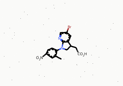 Cc1cc([N+](=O)[O-])ccc1N1CC(CC(=O)O)c2cc(Br)cnc21